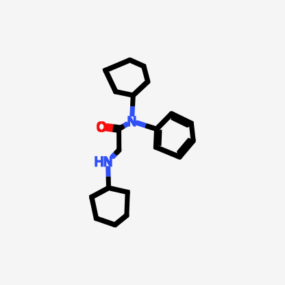 O=C(CNC1CCCCC1)N(c1ccccc1)C1CCCCC1